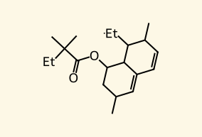 C[CH]C1C(C)C=CC2=CC(C)CC(OC(=O)C(C)(C)CC)C21